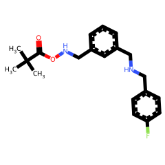 CC(C)(C)C(=O)ONCc1cccc(CNCc2ccc(F)cc2)c1